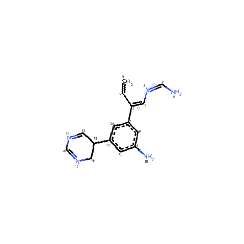 C=C/C(=C\N=C/N)c1cc(N)cc(C2C=NC=NC2)c1